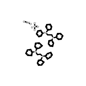 [Cl][Rh+][Cl].[O-][Cl+3]([O-])([O-])[O-].c1ccc(P(CC[As](c2ccccc2)c2ccccc2)c2ccccc2)cc1.c1ccc(P(CC[As](c2ccccc2)c2ccccc2)c2ccccc2)cc1